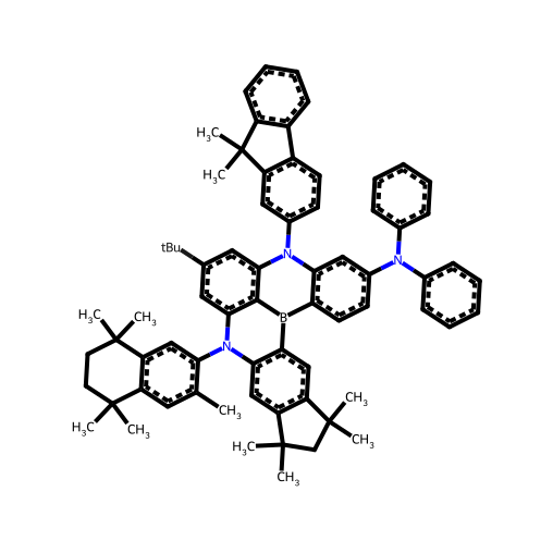 Cc1cc2c(cc1N1c3cc4c(cc3B3c5ccc(N(c6ccccc6)c6ccccc6)cc5N(c5ccc6c(c5)C(C)(C)c5ccccc5-6)c5cc(C(C)(C)C)cc1c53)C(C)(C)CC4(C)C)C(C)(C)CCC2(C)C